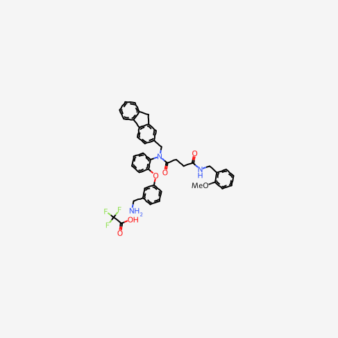 COc1ccccc1CNC(=O)CCC(=O)N(Cc1ccc2c(c1)Cc1ccccc1-2)c1ccccc1Oc1cccc(CN)c1.O=C(O)C(F)(F)F